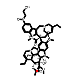 CCC1=C[C@H]2CN(C1)Cc1c([nH]c3ccc([S+]([O-])CCO)cc13)[C@@](C(=O)OC)(c1cc3c(cc1OC)N(C)[C@H]1[C@@](O)(C(=O)OC)[C@H](OC(C)=O)C4C(CC)=CCN5CC[C@]31[C@H]45)C2